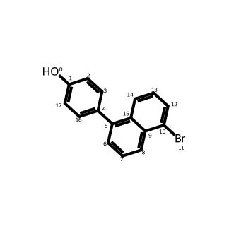 Oc1ccc(-c2cccc3c(Br)cccc23)cc1